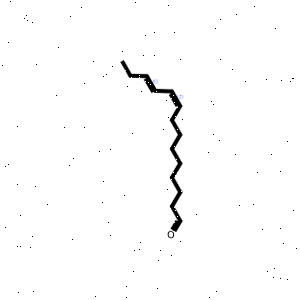 CC/C=C/C=C\CCCCCCCC=O